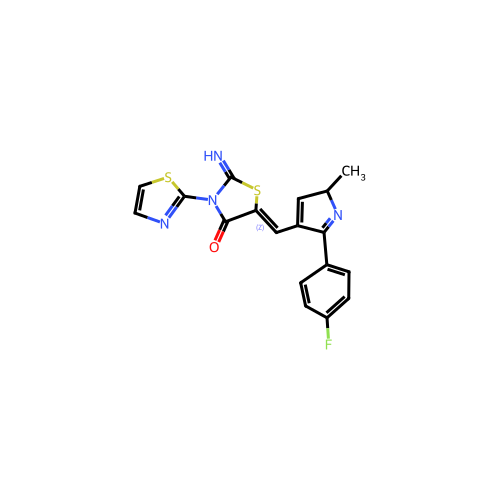 CC1C=C(/C=C2\SC(=N)N(c3nccs3)C2=O)C(c2ccc(F)cc2)=N1